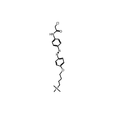 C[N+](C)(C)CCCCOc1ccc(/N=N/c2ccc(NC(=O)CCl)cc2)cc1